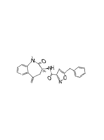 C=C1C[C@H](NC(=O)c2cc(Cc3ccccc3)on2)C(=O)N(C)c2ccccc21